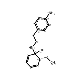 CC[C@@H]1C=CC=CC1(O)NCCc1ccc(N)cc1